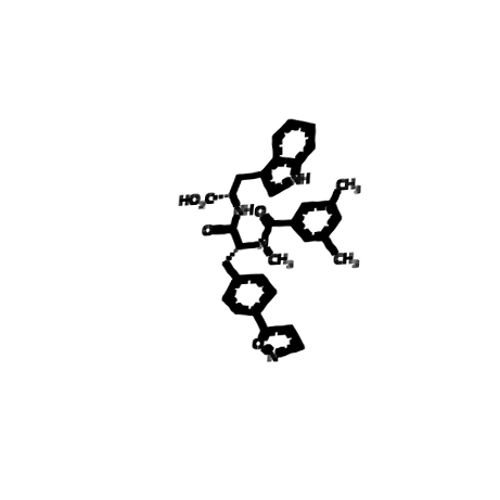 Cc1cc(C)cc(C(=O)N(C)[C@H](Cc2ccc(-c3ccno3)cc2)C(=O)N[C@@H](Cc2c[nH]c3ccccc23)C(=O)O)c1